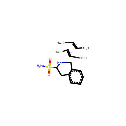 NS(=O)(=O)C1Cc2ccccc2CN1.O=C(O)/C=C/C(=O)O.O=C(O)/C=C/C(=O)O